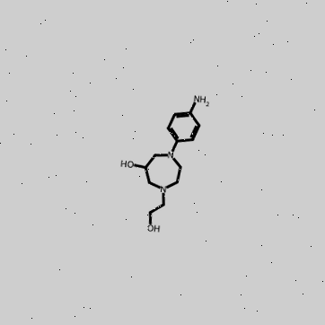 Nc1ccc(N2CCN(CCO)CC(O)C2)cc1